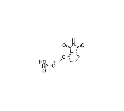 O=C1NC(=O)c2c(OCCO[PH](=O)O)cccc21